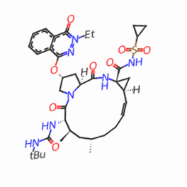 CCn1nc(O[C@@H]2C[C@H]3C(=O)N[C@]4(C(=O)NS(=O)(=O)C5CC5)C[C@H]4/C=C\CC[C@H](C)C[C@@H](C)[C@H](NC(=O)NC(C)(C)C)C(=O)N3C2)c2ccccc2c1=O